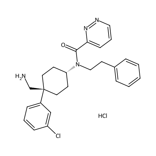 Cl.NC[C@]1(c2cccc(Cl)c2)CC[C@@H](N(CCc2ccccc2)C(=O)c2cccnn2)CC1